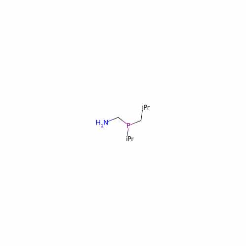 CC(C)CP(CN)C(C)C